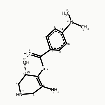 C=C(SC1=C(N)CNC[C@@H]1O)c1ccc(N(C)C)cc1